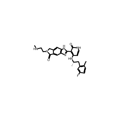 CNCCN1Cc2cc3[nH]c(-c4c(N[C@@H](C)Cc5cc(F)ccc5C)cc[nH]c4=O)nc3cc2C1=O